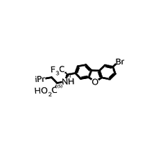 CC(C)C[C@H](N[C@H](c1ccc2c(c1)oc1ccc(Br)cc12)C(F)(F)F)C(=O)O